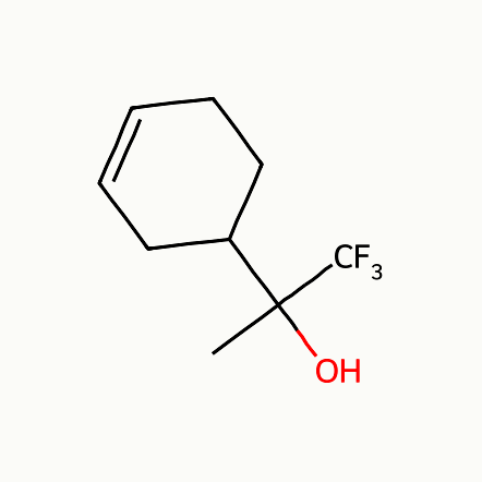 CC(O)(C1CC=CCC1)C(F)(F)F